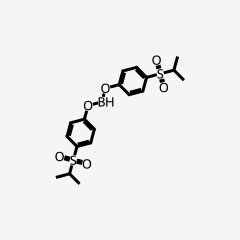 CC(C)S(=O)(=O)c1ccc(OBOc2ccc(S(=O)(=O)C(C)C)cc2)cc1